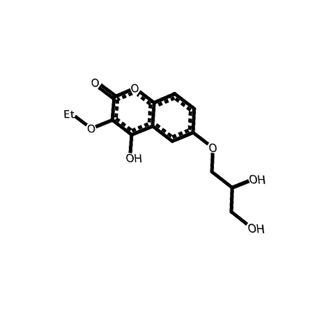 CCOc1c(O)c2cc(OCC(O)CO)ccc2oc1=O